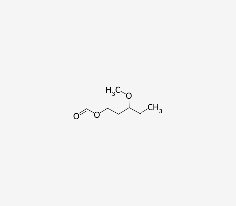 CCC(CCOC=O)OC